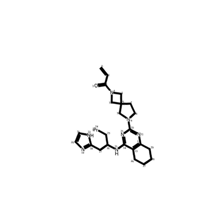 C=CC(=O)N1CC2(CCN(c3nc4c(c(NC(Cc5ncc[nH]5)CC(C)C)n3)CCCC4)C2)C1